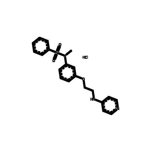 CN(c1cccc(OCCNc2ccncc2)c1)S(=O)(=O)c1ccccc1.Cl